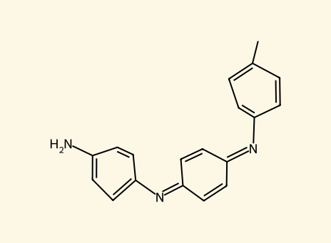 Cc1ccc(N=C2C=CC(=Nc3ccc(N)cc3)C=C2)cc1